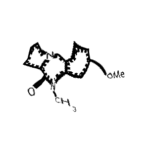 COc1ccc2c(c1)n(C)c(=O)c1cccn12